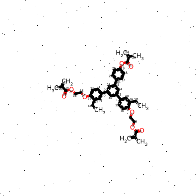 C=C(C)C(=O)OCCOc1ccc(-c2cc(-c3ccc(OC(=O)C(=C)C)cc3)cc(-c3ccc(OCCOC(=O)C(=C)C)c(CC)c3)c2)cc1CC